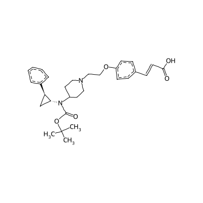 CC(C)(C)OC(=O)N(C1CCN(CCOc2ccc(/C=C/C(=O)O)cc2)CC1)[C@@H]1C[C@H]1c1ccccc1